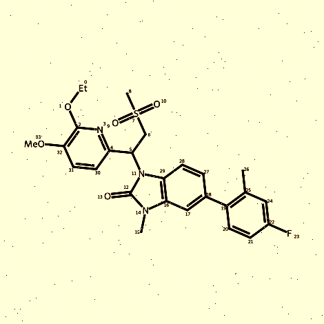 CCOc1nc(C(CS(C)(=O)=O)n2c(=O)n(C)c3cc(-c4ccc(F)cc4C)ccc32)ccc1OC